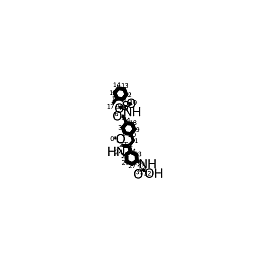 COc1cc(C(=O)NS(=O)(=O)c2ccccc2C)ccc1Cc1c[nH]c2ccc(NC(=O)O)cc12